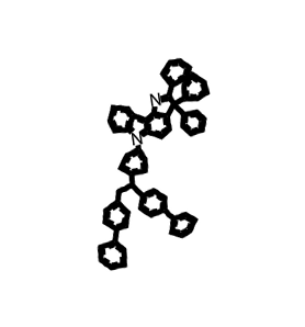 c1ccc(C2=Nc3c(ccc4c3c3ccccc3n4-c3ccc(C(Cc4ccc(-c5ccccc5)cc4)c4ccc(-c5ccccc5)cc4)cc3)C2(c2ccccc2)c2ccccc2)cc1